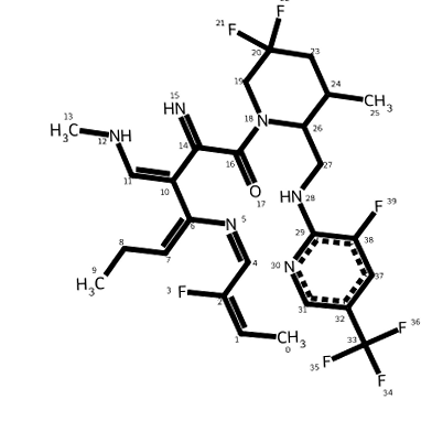 C\C=C(F)/C=N\C(=C\CC)C(=C\NC)\C(=N)C(=O)N1CC(F)(F)CC(C)C1CNc1ncc(C(F)(F)F)cc1F